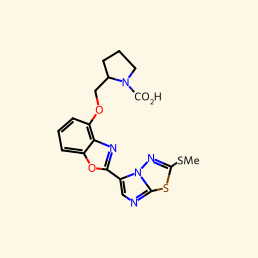 CSc1nn2c(-c3nc4c(OCC5CCCN5C(=O)O)cccc4o3)cnc2s1